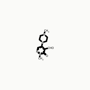 CN1CCN(c2cnn(C)c(=O)c2C=O)CC1